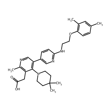 Cc1ccc(OCCNc2ccc(-c3cnc(C)c(CC(=O)O)c3N3CCC(C)(C)CC3)cn2)c(C)c1